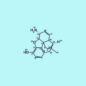 CN1CCC23c4c5ccc(O)c4OC2[C@H](N)C=CC3[C@H]1C5